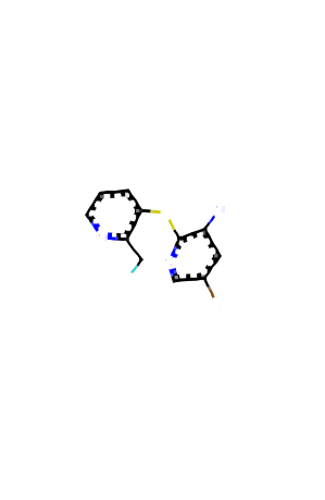 Nc1cc(Br)cnc1Sc1cccnc1CF